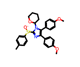 COc1ccc(-c2nc([S+]([O-])c3ccc(C)cc3)n(C3CCCCO3)c2-c2ccc(OC)cc2)cc1